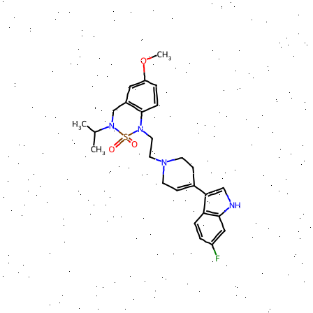 COc1ccc2c(c1)CN(C(C)C)S(=O)(=O)N2CCN1CC=C(c2c[nH]c3cc(F)ccc23)CC1